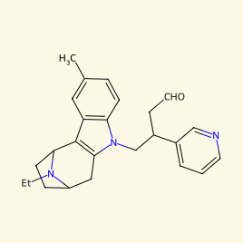 CCN1C2CCC1c1c(n(CC(CC=O)c3cccnc3)c3ccc(C)cc13)C2